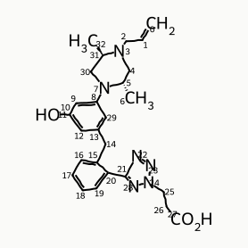 C=CCN1C[C@H](C)N(c2cc(O)cc(Cc3ccccc3-c3nnn(CCC(=O)O)n3)c2)C[C@H]1C